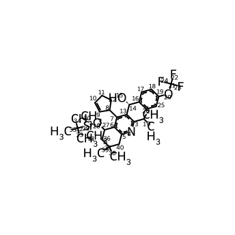 CC(C)c1nc2c(c(C3C=CCC3)c1[C@H](O)c1ccc(OC(F)(F)F)cc1)C(O[Si](C)(C)C(C)(C)C)CC(C)(C)C2